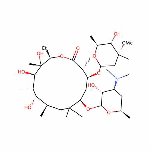 CC[C@H]1OC(=O)[C@H](C)[C@@H](OC2C[C@@](C)(OC)[C@@H](O)[C@H](C)O2)[C@H](C)[C@@H](OC2O[C@H](C)C[C@H](N(C)C)[C@H]2O)C(C)(C)C[C@@H](C)[C@H](O)[C@H](C)[C@@H](O)[C@]1(C)O